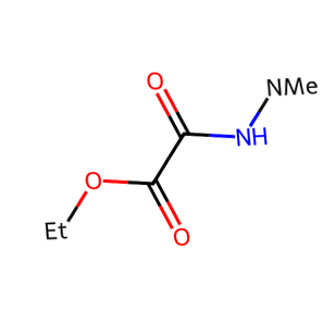 CCOC(=O)C(=O)NNC